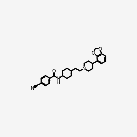 N#Cc1ccc(C(=O)NC2CCC(CCN3CCC(c4cccc5c4OCO5)CC3)CC2)cc1